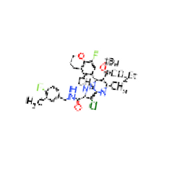 CCOC(=O)[C@@H](OC(C)(C)C)c1c(C)nc2c(Cl)c(C(=O)NCc3ccc(F)c(C)c3)nn2c1-c1cc(F)c2c(c1C)CCCO2